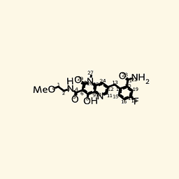 COCCNC(=O)c1c(O)c2ncc(Cc3ccc(F)cc3C(N)=O)cc2n(C)c1=O